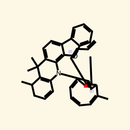 C=C/C=C\c1c(C)c/c2c(C)ccccc/c=2ccc1N1C2=C(C(C)CC=C2)C(C)(C)c2ccc3c(oc4ccccc43)c21